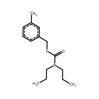 CCCN(CCC)C(=O)SCc1cccc(C)c1